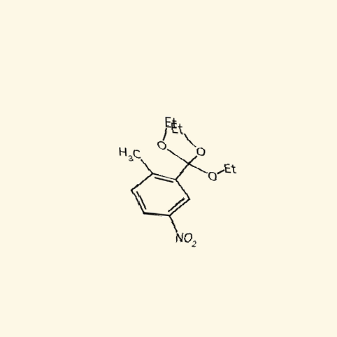 CCOC(OCC)(OCC)c1cc([N+](=O)[O-])ccc1C